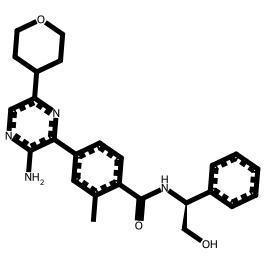 Cc1cc(-c2nc(C3CCOCC3)cnc2N)ccc1C(=O)N[C@H](CO)c1ccccc1